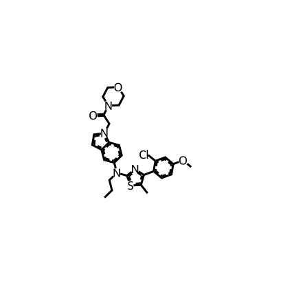 CCCN(c1ccc2c(ccn2CC(=O)N2CCOCC2)c1)c1nc(-c2ccc(OC)cc2Cl)c(C)s1